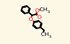 CCc1ccc(OC(C(=O)OC)c2ccccc2)cc1